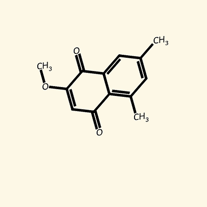 COC1=CC(=O)c2c(C)cc(C)cc2C1=O